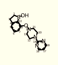 OB1CCc2cccc(ON3CCN(c4ncccn4)CC3)c21